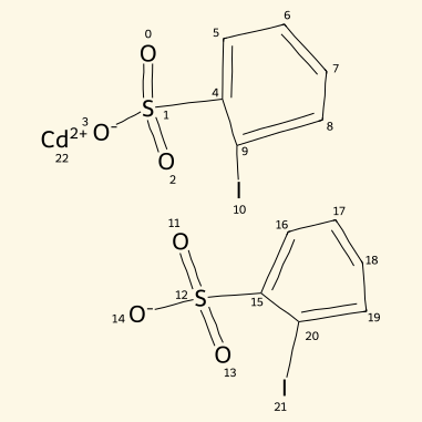 O=S(=O)([O-])c1ccccc1I.O=S(=O)([O-])c1ccccc1I.[Cd+2]